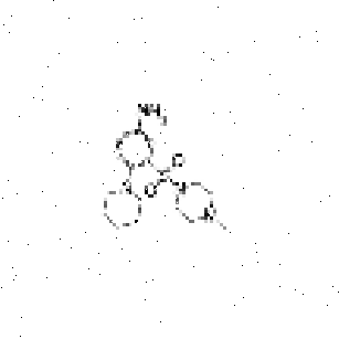 CN1CCN(S(=O)(=O)c2cc(N)ccc2N2CCCCC2)CC1